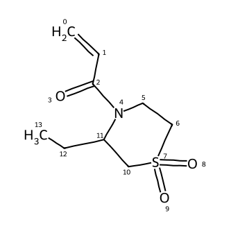 C=CC(=O)N1CCS(=O)(=O)CC1CC